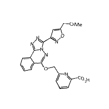 COCc1cc(-c2nnc3c4ccccc4c(OCc4cccc(C(=O)O)n4)nn23)no1